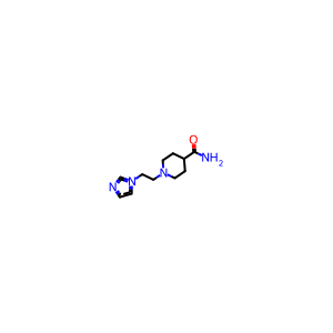 NC(=O)C1CCN(CCn2ccnc2)CC1